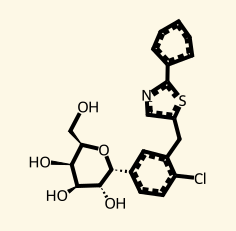 OC[C@H]1O[C@H](c2ccc(Cl)c(Cc3cnc(-c4ccccc4)s3)c2)[C@H](O)[C@@H](O)[C@H]1O